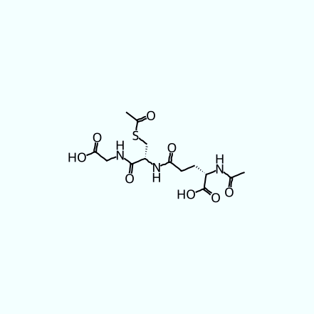 CC(=O)N[C@@H](CCC(=O)N[C@@H](CSC(C)=O)C(=O)NCC(=O)O)C(=O)O